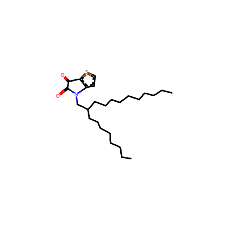 CCCCCCCCCCC(CCCCCCCC)CN1C(=O)C(=O)c2sccc21